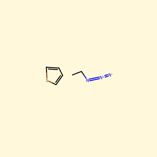 CCN=[N+]=[N-].c1ccsc1